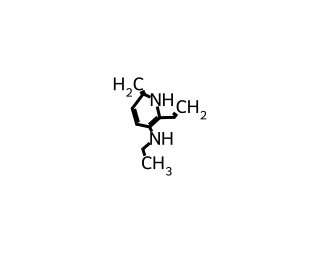 C=CC1=C(NCC)C=CC(=C)N1